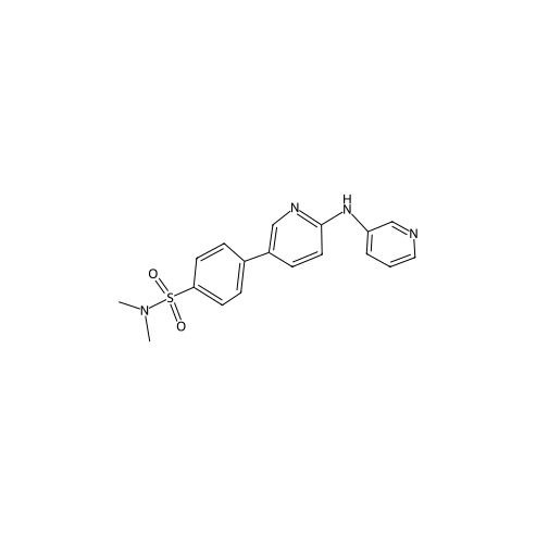 CN(C)S(=O)(=O)c1ccc(-c2ccc(Nc3cccnc3)nc2)cc1